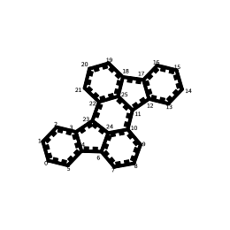 c1ccc2c(c1)c1cccc3c4c5ccccc5c5cccc(c2c13)c54